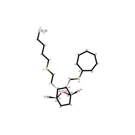 O=C(O)CCCCSCC[C@@H]1[C@H](CSC2CCCCCC2)[C@@H]2CC[C@H]1O2